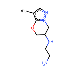 CC(C)(C)c1cnn2c1OCC(NCCN)C2